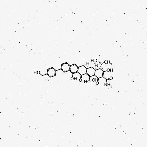 CN(C)[C@@H]1C(O)=C(C(N)=O)C(=O)[C@@]2(O)C(O)=C3C(=O)c4c(cc5ccc(-c6ccc(CO)cc6)cc5c4O)C[C@H]3C[C@@H]12